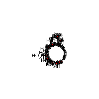 CC(=O)N1CCC[C@]12C/C=C/CCCCCC/C=C/CCCOC(=O)N1CC3N[C@@H](Cc4ccsc4)C(=O)N[C@@H](Cc4csc5ccccc45)C(=O)N[C@H](C(N)=O)CCC(=O)NCCCC[C@H](NC(=O)[C@H](Cc4ccccc4)NC(=O)[C@H](C)NC(=O)[C@H](C)NC(=O)[C@H](Cc4cccc(C(=O)O)c4)NC(=O)[C@H](CCO)NC(=O)NC(O)[C@H](CC(C)(C)C)NC(=O)[C@H](CC(=O)O)NC2=O)C(=O)N[C@@H]3C1